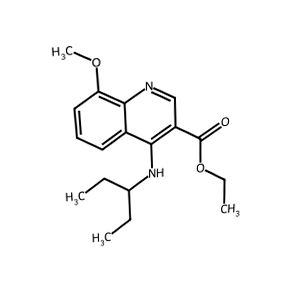 CCOC(=O)c1cnc2c(OC)cccc2c1NC(CC)CC